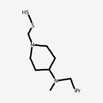 CC(C)CN(C)C1CCN(CSS)CC1